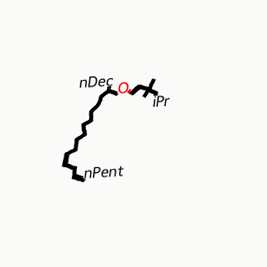 CCCCC/C=C\C/C=C\CCCCCCCCC(CCCCCCCCCC)CO/C=C/C(C)(C)CC(C)C